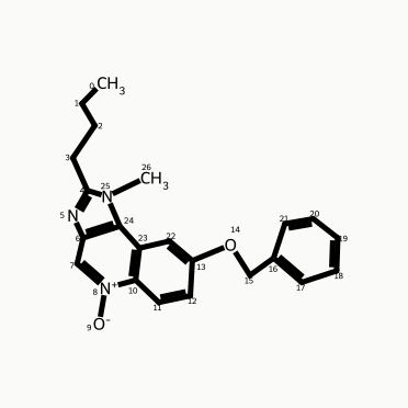 CCCCc1nc2c[n+]([O-])c3ccc(OCc4ccccc4)cc3c2n1C